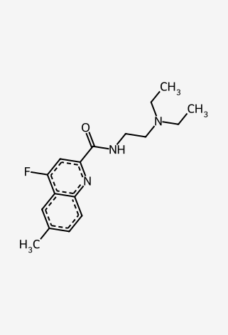 CCN(CC)CCNC(=O)c1cc(F)c2cc(C)ccc2n1